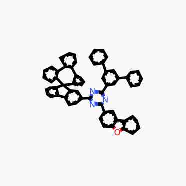 c1ccc(-c2cc(-c3ccccc3)cc(-c3nc(-c4ccc5c(c4)C4(c6ccccc6-c6ccccc6-c6ccccc64)c4ccccc4-5)nc(-c4ccc5oc6ccccc6c5c4)n3)c2)cc1